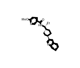 CC[C@@H](NC(=O)c1ccc(OC)nc1)[C@H]1CC[C@H](c2cnc3ccccc3c2)CC1